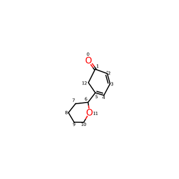 O=C1[C]=CC=C(C2CCCCO2)C1